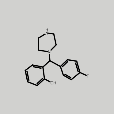 Oc1ccccc1C(c1ccc(F)cc1)N1CCNCC1